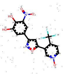 O=[N+]([O-])c1cc(-c2cc(-c3c[n+]([O-])ccc3C(F)(F)F)on2)cc(O)c1O